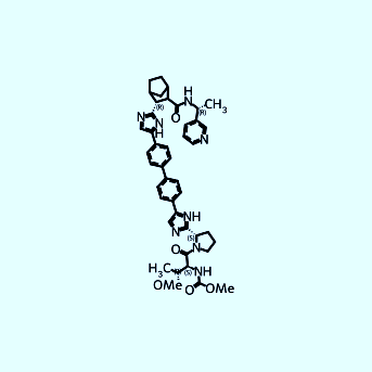 COC(=O)N[C@H](C(=O)N1CCC[C@H]1c1ncc(-c2ccc(-c3ccc(-c4cnc([C@@H]5C6CCC(C6)C5C(=O)N[C@H](C)c5cccnc5)[nH]4)cc3)cc2)[nH]1)[C@@H](C)OC